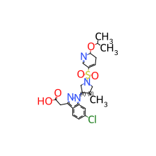 CC(C)OC1CC=C(S(=O)(=O)N2C[C@@H](C)[C@@H](n3nc(CC(=O)O)c4ccc(Cl)cc43)C2)C=N1